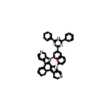 c1ccc(-c2nc(-c3ccccc3)nc(-c3cccc(-n4c5cnccc5c5c6ccccc6c6c7ccncc7n(-c7ccccc7)c6c54)c3)n2)cc1